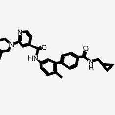 Cc1ccc(NC(=O)c2ccnc(N3CCCC(C)C3)c2)cc1-c1ccc(C(=O)NCC2CC2)cc1